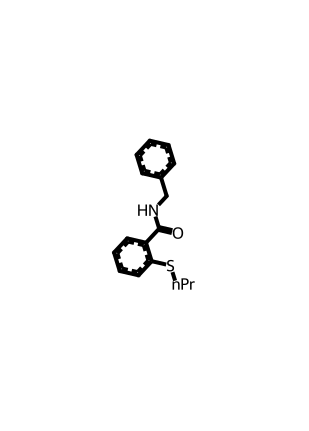 CCCSc1ccccc1C(=O)NCc1ccccc1